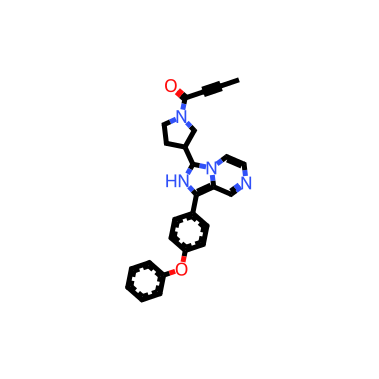 CC#CC(=O)N1CCC(C2NC(c3ccc(Oc4ccccc4)cc3)=C3C=NC=CN32)C1